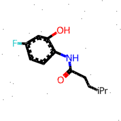 CC(C)CCC(=O)Nc1ccc(F)cc1O